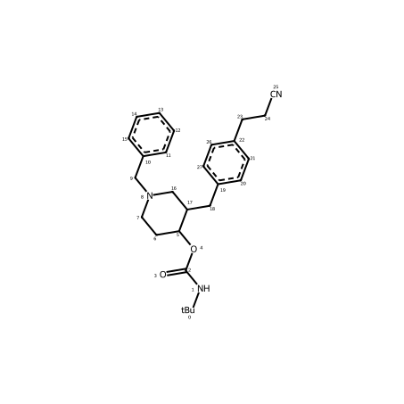 CC(C)(C)NC(=O)OC1CCN(Cc2ccccc2)CC1Cc1ccc(CCC#N)cc1